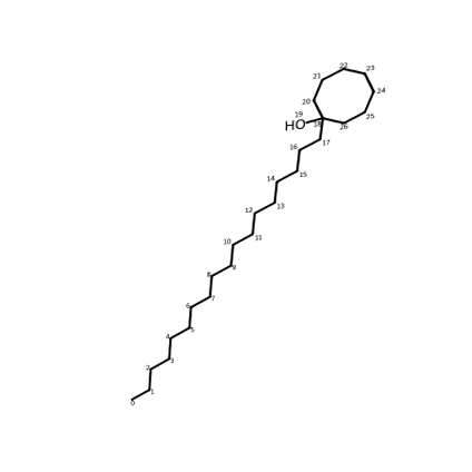 CCCCCCCCCCCCCCCCCCC1(O)CCCCCCC1